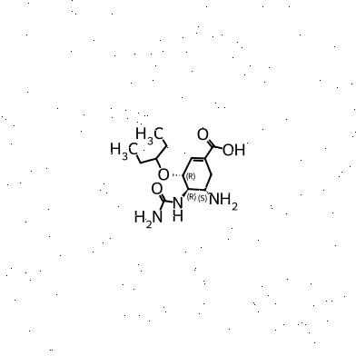 CCC(CC)O[C@@H]1C=C(C(=O)O)C[C@H](N)[C@H]1NC(N)=O